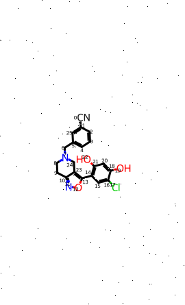 N#Cc1cccc(CN2CCc3noc(-c4cc(Cl)c(O)cc4O)c3C2)c1